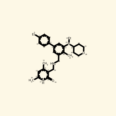 CCc1ccc(-c2cc(CNCc3c(C)cc(C)[nH]c3=O)c(C)c(N(CC)C3CCOCC3)c2)cc1